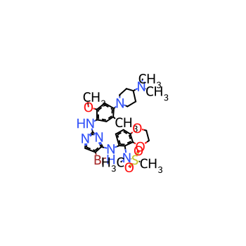 COc1cc(N2CCC(N(C)C)CC2)c(C)cc1Nc1ncc(Br)c(Nc2ccc3c(c2N(C)S(C)(=O)=O)OCCO3)n1